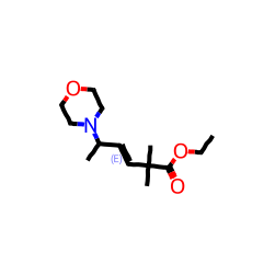 CCOC(=O)C(C)(C)/C=C/C(C)N1CCOCC1